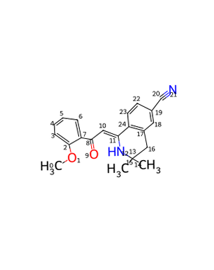 COc1ccccc1C(=O)/C=C1\NC(C)(C)Cc2cc(C#N)ccc21